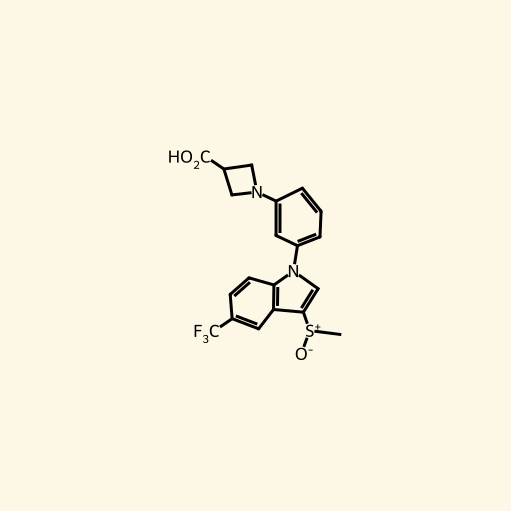 C[S+]([O-])c1cn(-c2cccc(N3CC(C(=O)O)C3)c2)c2ccc(C(F)(F)F)cc12